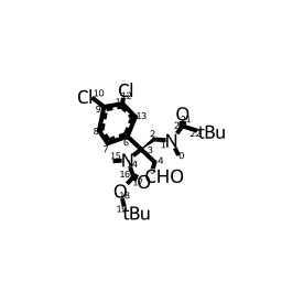 CN(C[C@](CC=O)(c1ccc(Cl)c(Cl)c1)N(C)C(=O)OC(C)(C)C)C(=O)C(C)(C)C